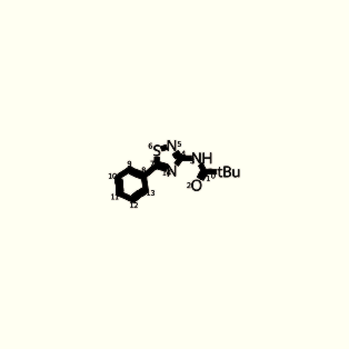 CC(C)(C)C(=O)Nc1nsc(-c2ccccc2)n1